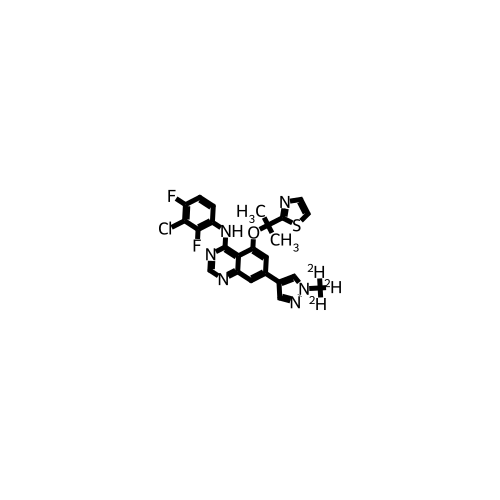 [2H]C([2H])([2H])n1cc(-c2cc(OC(C)(C)c3nccs3)c3c(Nc4ccc(F)c(Cl)c4F)ncnc3c2)cn1